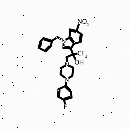 O=[N+]([O-])c1ccc2c(C(O)(CN3CCN(c4ccc(F)cc4)CC3)C(F)(F)F)cn(Cc3ccccc3)c2c1